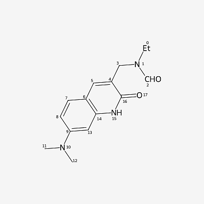 CCN(C=O)Cc1cc2ccc(N(C)C)cc2[nH]c1=O